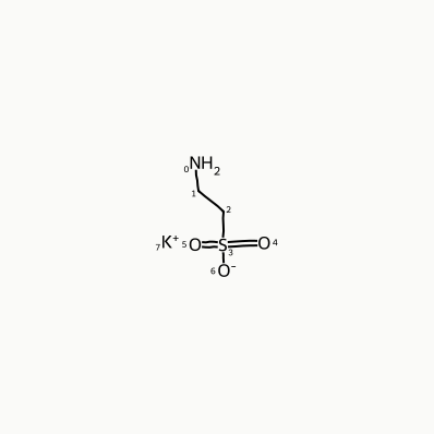 NCCS(=O)(=O)[O-].[K+]